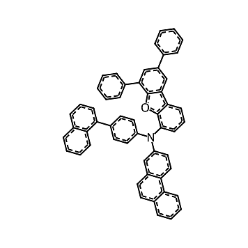 c1ccc(-c2cc(-c3ccccc3)c3oc4c(N(c5ccc(-c6cccc7ccccc67)cc5)c5ccc6c(ccc7ccccc76)c5)cccc4c3c2)cc1